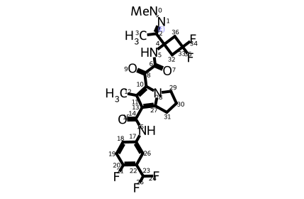 CN/N=C(\C)C1(NC(=O)C(=O)c2c(C)c(C(=O)Nc3ccc(F)c(C(F)F)c3)c3n2CCC3)CC(F)(F)C1